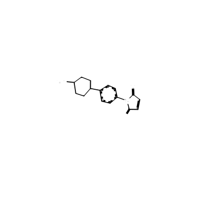 CCCC1CCC(c2ccc(N3C(=O)C=CC3=O)cc2)CC1